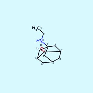 CCNC12CC3CC(C1)C(=O)C(C3)C2